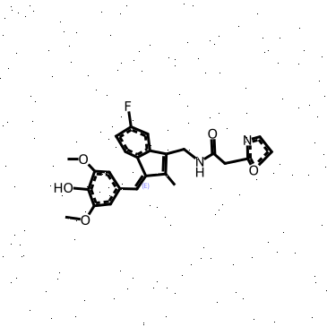 COc1cc(/C=C2/C(C)=C(CNC(=O)Cc3ncco3)c3cc(F)ccc32)cc(OC)c1O